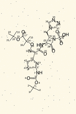 CC(C)(C)OC(=O)Nc1nc(C(=NOC(C)(C)C(=O)OC(C)(C)C)C(=O)N[C@@H]2C(=O)N(S(=O)(=O)O)[C@@H]2Cn2cnnc2)cs1